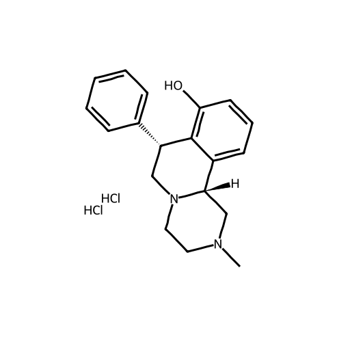 CN1CCN2C[C@H](c3ccccc3)c3c(O)cccc3[C@@H]2C1.Cl.Cl